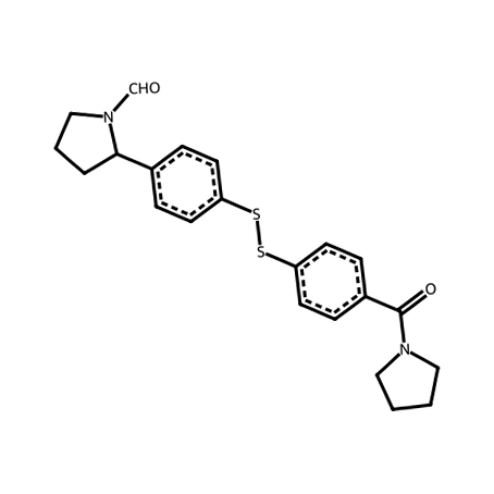 O=CN1CCCC1c1ccc(SSc2ccc(C(=O)N3CCCC3)cc2)cc1